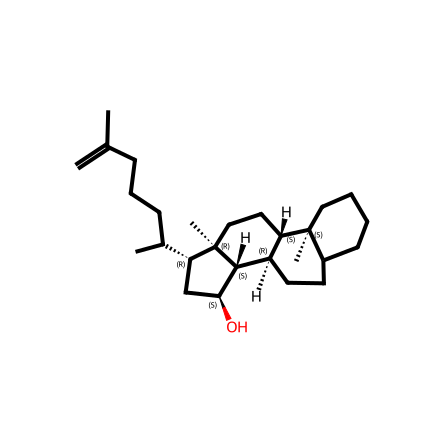 C=C(C)CCCC(C)[C@H]1C[C@H](O)[C@H]2[C@@H]3CCC4CCCC[C@]4(C)[C@H]3CC[C@@]21C